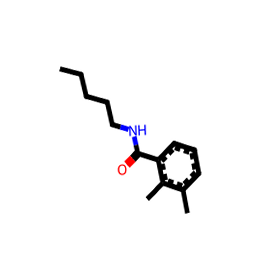 CCCCCNC(=O)c1cccc(C)c1C